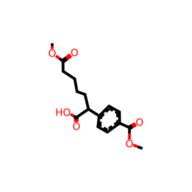 COC(=O)CCCCC(C(=O)O)c1ccc(C(=O)OC)cc1